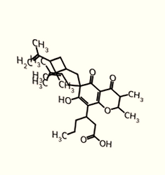 C=C(C)C1CC(CC2(CC=C(C)C)C(=O)C3=C(OC(C)C(C)C3=O)C(C(CCC)CC(=O)O)=C2O)C1(C)C